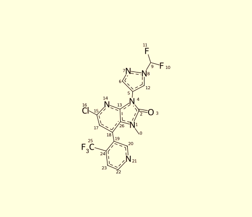 Cn1c(=O)n(-c2cnn(C(F)F)c2)c2nc(Cl)cc(-c3cnccc3C(F)(F)F)c21